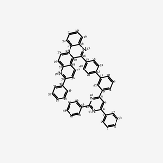 c1ccc(-c2cc(-c3cccc(-c4ccc(-c5nc6ccccc6c6ccc7nc(-c8ccccc8)ccc7c56)cc4)c3)nc(-c3ccccc3)n2)cc1